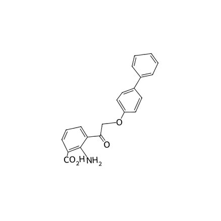 Nc1c(C(=O)O)cccc1C(=O)COc1ccc(-c2ccccc2)cc1